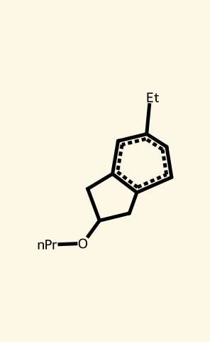 CCCOC1Cc2ccc(CC)cc2C1